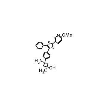 COc1ccc(-c2nc(-c3ccc([C@]4(N)C[C@@](C)(O)C4)cc3)c(-c3ccccc3)s2)cn1